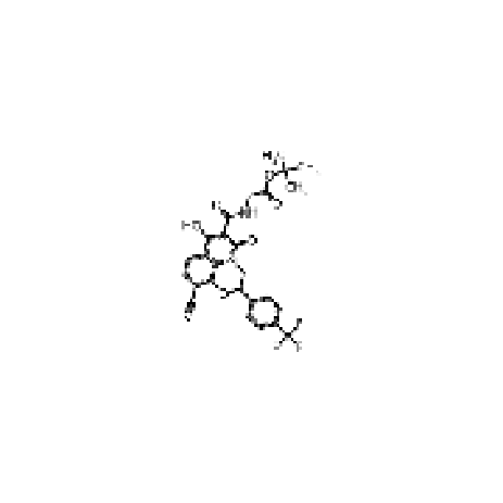 CC(C)(C)OC(=O)CNC(=O)c1c(O)c2ccc(C#N)c3c2n(c1=O)CC(c1ccc(C(F)(F)F)cc1)O3